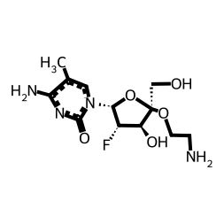 Cc1cn([C@@H]2O[C@@](CO)(OCCN)[C@@H](O)[C@@H]2F)c(=O)nc1N